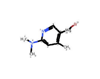 Cc1cc(N(C)C)nc[c]1[Mg][Br]